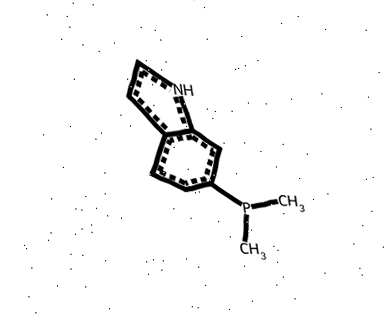 CP(C)c1ccc2cc[nH]c2c1